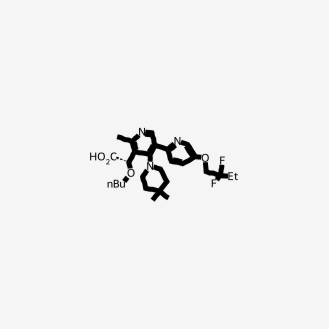 CCCCO[C@H](C(=O)O)c1c(C)ncc(-c2ccc(OCC(F)(F)CC)cn2)c1N1CCC(C)(C)CC1